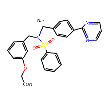 O=C([O-])COc1cccc(CN(Cc2ccc(-c3ncccn3)cc2)S(=O)(=O)c2ccccc2)c1.[Na+]